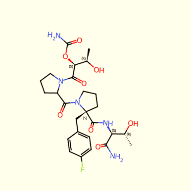 C[C@@H](O)[C@H](NC(=O)[C@@]1(Cc2ccc(F)cc2)CCCN1C(=O)C1CCCN1C(=O)[C@@H](OC(N)=O)[C@@H](C)O)C(N)=O